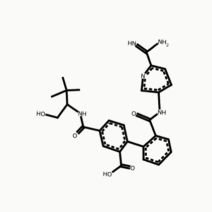 CC(C)(C)C(CO)NC(=O)c1ccc(-c2ccccc2C(=O)Nc2ccc(C(=N)N)nc2)c(C(=O)O)c1